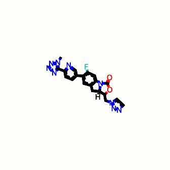 Cn1nnnc1-c1ccc(-c2cc3c(cc2F)N2C(=O)OC(Cn4ccnn4)[C@@H]2C3)cn1